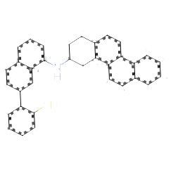 Sc1ccccc1-c1ccc2cccc(NC3CCc4ccc5c(ccc6ccccc65)c4C3)c2c1